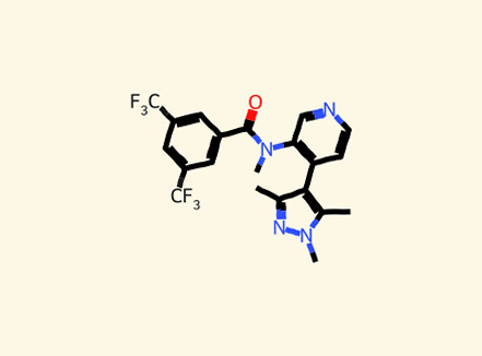 Cc1nn(C)c(C)c1-c1ccncc1N(C)C(=O)c1cc(C(F)(F)F)cc(C(F)(F)F)c1